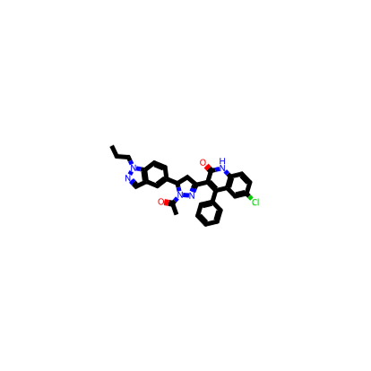 CCCn1ncc2cc(C3CC(c4c(-c5ccccc5)c5cc(Cl)ccc5[nH]c4=O)=NN3C(C)=O)ccc21